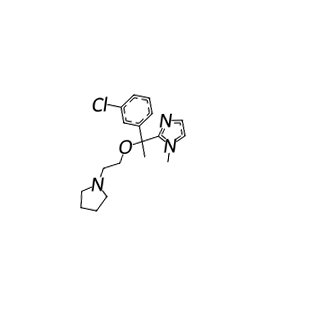 Cn1ccnc1C(C)(OCCN1CCCC1)c1cccc(Cl)c1